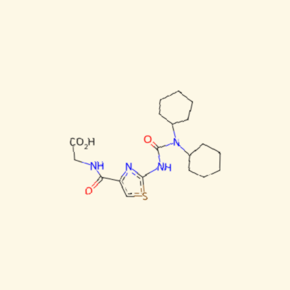 O=C(O)CNC(=O)c1csc(NC(=O)N(C2CCCCC2)C2CCCCC2)n1